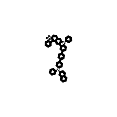 C[Si]1(C)c2ccccc2-c2c1ccc1cc3c(cc21)c1cc(-c2ccc(-c4ccc(N(c5ccccc5)c5ccc6ccccc6c5)cc4)cc2)ccc1n3-c1ccccc1